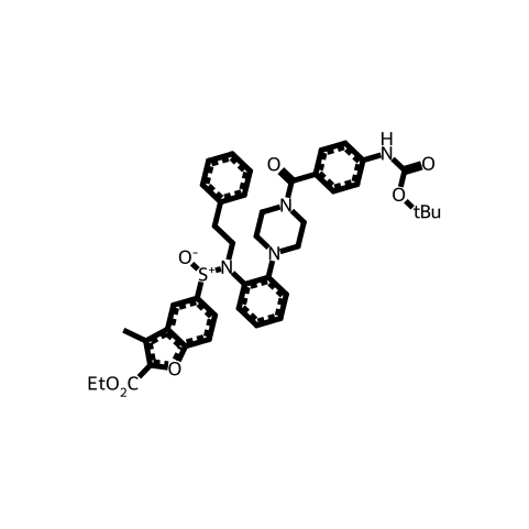 CCOC(=O)c1oc2ccc([S+]([O-])N(CCc3ccccc3)c3ccccc3N3CCN(C(=O)c4ccc(NC(=O)OC(C)(C)C)cc4)CC3)cc2c1C